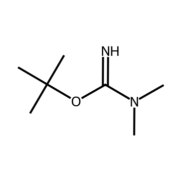 CN(C)C(=N)OC(C)(C)C